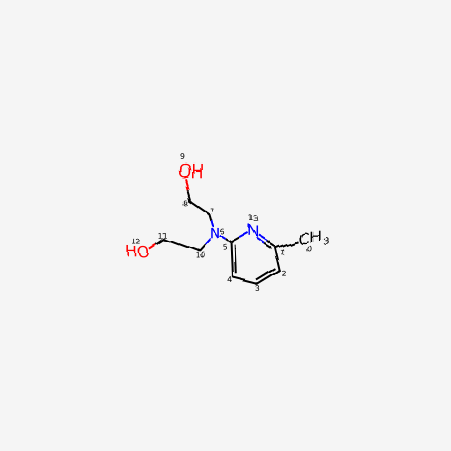 Cc1cccc(N(CCO)CCO)n1